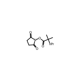 CCCC(C)(C)C(=O)ON1C(=O)CCC1=O